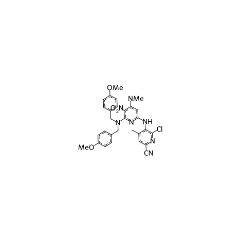 CNc1cc(Nc2c(C)cc(C#N)nc2Cl)nc(N(Cc2ccc(OC)cc2)Cc2ccc(OC)cc2)c1[N+](=O)[O-]